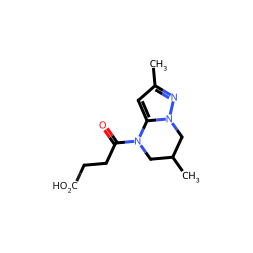 Cc1cc2n(n1)CC(C)CN2C(=O)CCC(=O)O